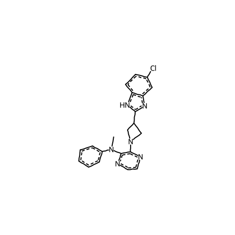 CN(c1ccccc1)c1nccnc1N1CC(c2nc3cc(Cl)ccc3[nH]2)C1